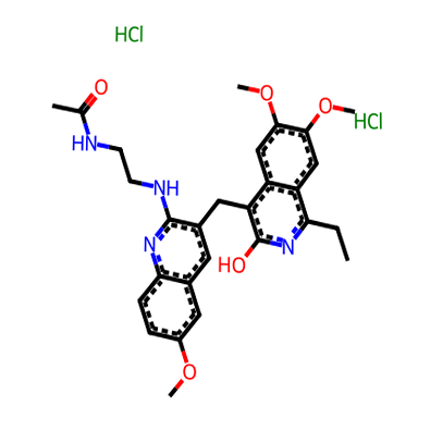 CCc1nc(O)c(Cc2cc3cc(OC)ccc3nc2NCCNC(C)=O)c2cc(OC)c(OC)cc12.Cl.Cl